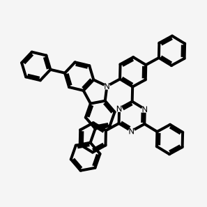 c1ccc(-c2ccc(-n3c4ccc(-c5ccccc5)cc4c4cc(-c5ccccc5)ccc43)c(-c3nc(-c4ccccc4)nc(-c4ccccc4)n3)c2)cc1